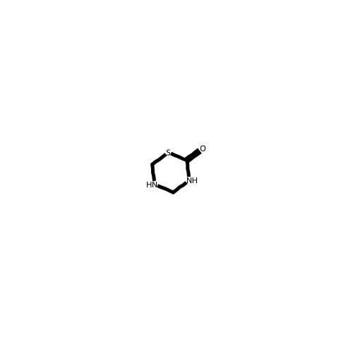 O=C1NCNCS1